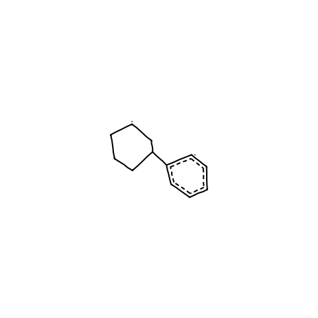 [c]1ccccc1C1C[CH]CCC1